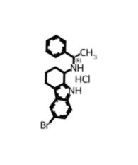 C[C@@H](NC1CCCc2c1[nH]c1ccc(Br)cc21)c1ccccc1.Cl